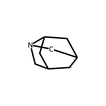 [CH]1C2CC3CC1CN3C2